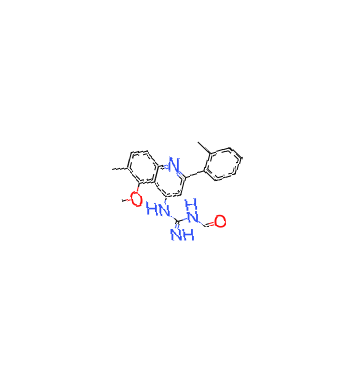 COc1c(C)ccc2nc(-c3ccccc3C)cc(NC(=N)NC=O)c12